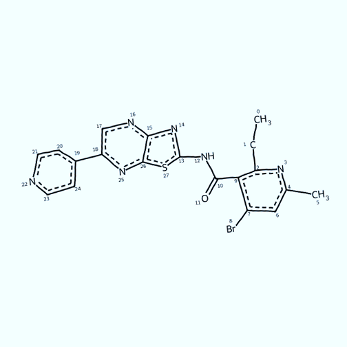 CCc1nc(C)cc(Br)c1C(=O)Nc1nc2ncc(-c3ccncc3)nc2s1